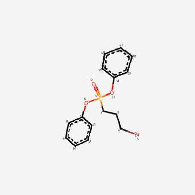 O=P(CCCBr)(Oc1ccccc1)Oc1ccccc1